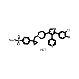 CNS(=O)(=O)c1ccc(C2(CN3CC=C(c4c[nH]c(-c5ccc(F)c(Cl)c5)c4-c4ccncc4)CC3)CC2)cc1.Cl